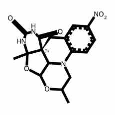 CC1CN2c3ccc([N+](=O)[O-])cc3C[C@]34C(=O)NC(=O)NC3(C)OC(O1)C24